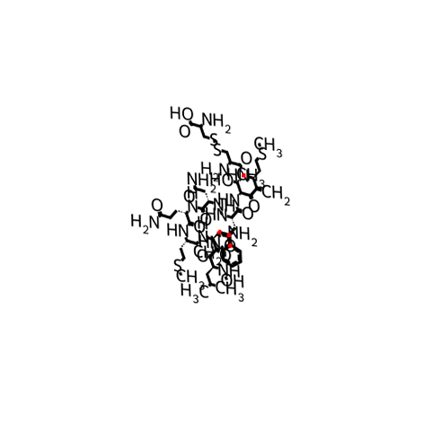 C=C(N[C@@H](CC(N)=O)C(=O)C(=O)[C@H](CC(C)C)NO)[C@H](CCSC)NC(=O)[C@H](CCC(N)=O)NC(=O)[C@H](CC(N)=O)NN[C@@H](Cc1c[nH]c2ccccc12)C(=O)N[C@H](C(=O)C(=C)[C@H](CCSC)NC(=O)C(N)CSSCC(N)C(=O)O)[C@@H](C)O